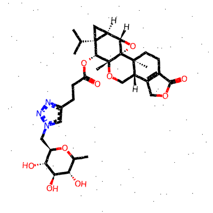 CC1O[C@H](Cn2cc(CCC(=O)O[C@@H]3[C@@]4(C(C)C)C[C@H]4[C@@H]4O[C@@]45[C@@]4(C)CCC6=C(COC6=O)[C@@H]4CO[C@]35C)nn2)[C@@H](O)[C@H](O)[C@H]1O